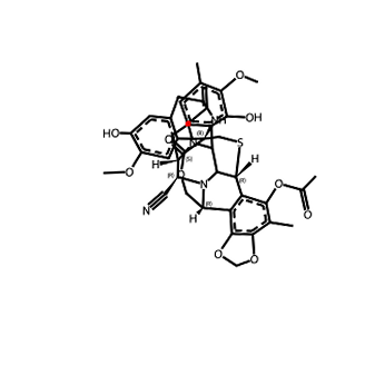 C=CCN1C2c3c(cc(C)c(OC)c3O)C[C@H]1[C@H](C#N)N1C2[C@@H]2SC[C@]3(NCCc4cc(O)c(OC)cc43)C(=O)OC[C@H]1c1c3c(c(C)c(OC(C)=O)c12)OCO3